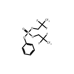 O=P(OCC(F)(F)C(F)(F)F)(OCC(F)(F)C(F)(F)F)Oc1ccccc1